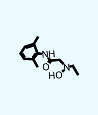 CCN(O)CC(=O)Nc1c(C)cccc1C